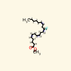 CCCCC/C=C\C/C(F)=C\C/C=C\C/C=C\CCCC(=O)OC